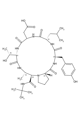 CC(C)C[C@@H]1NC(=O)[C@@H](Cc2ccc(O)cc2)NC(=O)[C@@H]2CCCN2[C@@H](C(=O)NC(C)(C)C)[C@H](C)NC(=O)[C@H]([C@@H](C)O)NC(=O)C(CC(=O)O)NC1=O